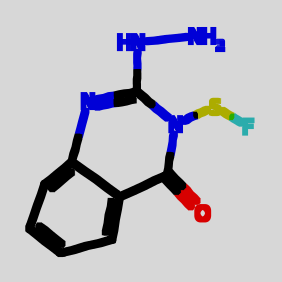 NNc1nc2ccccc2c(=O)n1SF